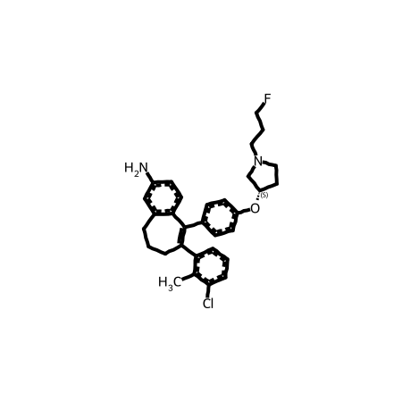 Cc1c(Cl)cccc1C1=C(c2ccc(O[C@H]3CCN(CCCF)C3)cc2)c2ccc(N)cc2CCC1